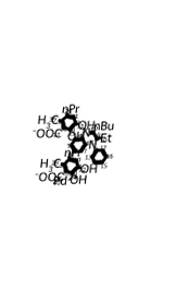 CCCCC(=Nc1ccccc1)C(CC)=Nc1ccccc1.CCCc1cc(O)c(O)c(C(=O)[O-])c1C.CCCc1cc(O)c(O)c(C(=O)[O-])c1C.[Pd+2]